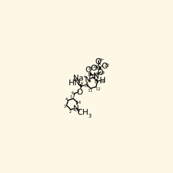 CN1CCC[C@@H](COC(=N)[C@@H]2CC[C@@H]3CN2C(=O)N3OS(=O)(=O)[O-])C1.[Na+]